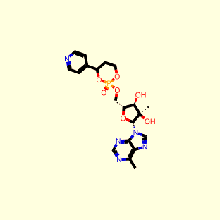 Cc1ncnc2c1ncn2[C@@H]1O[C@H](COP2(=O)OCCC(c3ccncc3)O2)[C@@H](O)[C@@]1(C)O